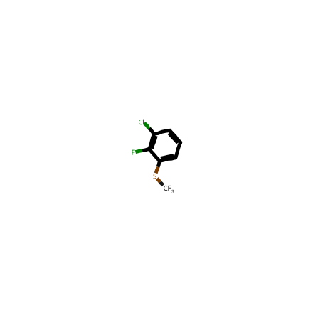 Fc1c(Cl)cccc1SC(F)(F)F